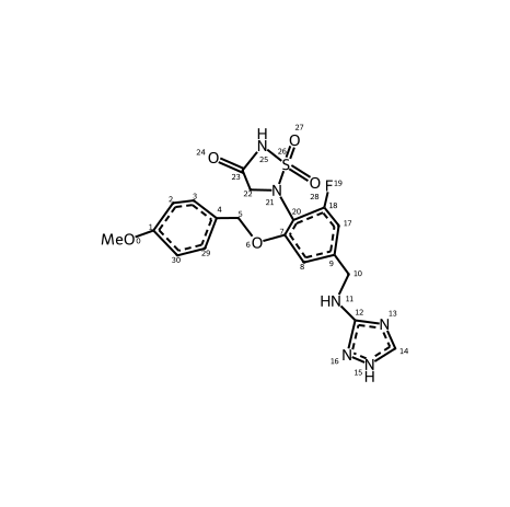 COc1ccc(COc2cc(CNc3nc[nH]n3)cc(F)c2N2CC(=O)NS2(=O)=O)cc1